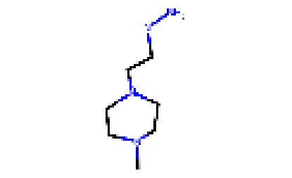 CN1CCN(CC[N]N)CC1